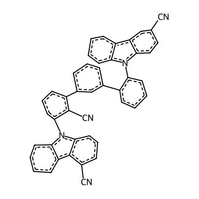 N#Cc1ccc2c(c1)c1ccccc1n2-c1ccccc1-c1cccc(-c2cccc(-n3c4ccccc4c4c(C#N)cccc43)c2C#N)c1